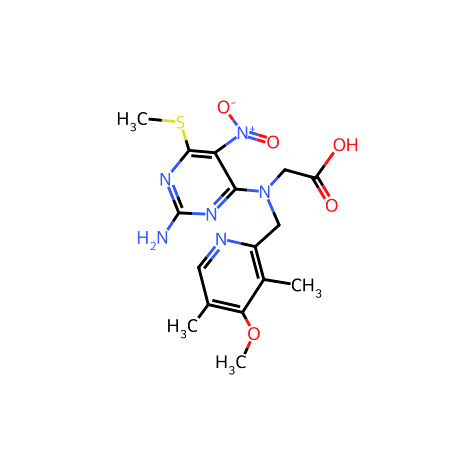 COc1c(C)cnc(CN(CC(=O)O)c2nc(N)nc(SC)c2[N+](=O)[O-])c1C